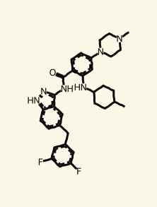 CC1CCC(Nc2cc(N3CCN(C)CC3)ccc2C(=O)Nc2n[nH]c3ccc(Cc4cc(F)cc(F)c4)cc23)CC1